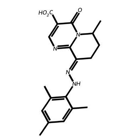 Cc1cc(C)c(NN=C2CCC(C)n3c2ncc(C(=O)O)c3=O)c(C)c1